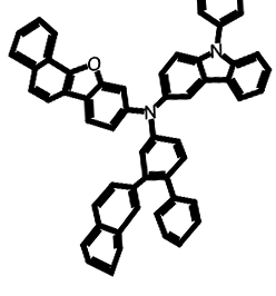 c1ccc(-c2ccc(N(c3ccc4c(c3)oc3c5ccccc5ccc43)c3ccc4c(c3)c3ccccc3n4-c3ccccc3)cc2-c2ccc3ccccc3c2)cc1